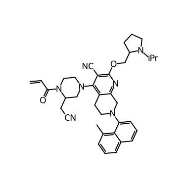 C=CC(=O)N1CCN(c2c(C#N)c(OCC3CCCN3C(C)C)nc3c2CCN(c2cccc4cccc(C)c24)C3)CC1CC#N